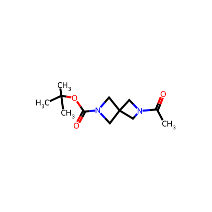 CC(=O)N1CC2(C1)CN(C(=O)OC(C)(C)C)C2